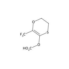 O=C(O)OC1=C(C(F)(F)F)OCCS1